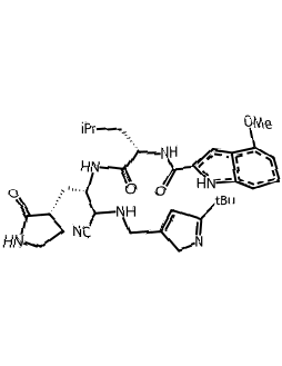 COc1cccc2[nH]c(C(=O)N[C@@H](CC(C)C)C(=O)N[C@@H](C[C@@H]3CCNC3=O)C(C#N)NCC3=CC(C(C)(C)C)=NC3)cc12